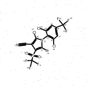 N#Cc1c(S(=O)(=O)C(F)(F)F)c(Br)n(-c2c(Cl)cc(C(F)(F)F)cc2Cl)c1Cl